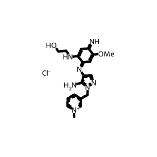 COC1=C/C(=N\c2cnn(Cc3ccc[n+](C)c3)c2N)C(NCCO)=CC1=N.[Cl-]